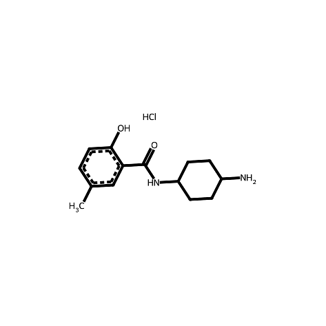 Cc1ccc(O)c(C(=O)NC2CCC(N)CC2)c1.Cl